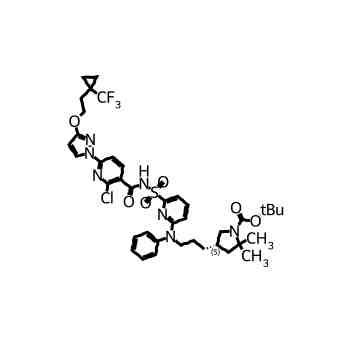 CC(C)(C)OC(=O)N1C[C@@H](CCCN(c2ccccc2)c2cccc(S(=O)(=O)NC(=O)c3ccc(-n4ccc(OCCC5(C(F)(F)F)CC5)n4)nc3Cl)n2)CC1(C)C